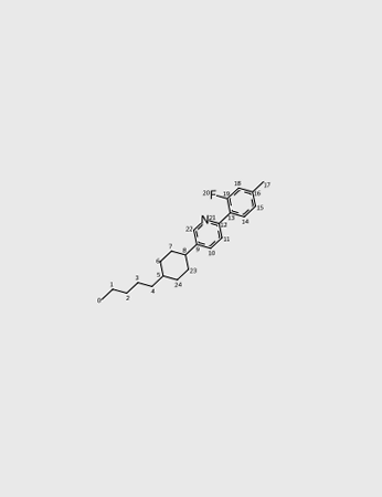 CCCCCC1CCC(c2ccc(-c3ccc(C)cc3F)nc2)CC1